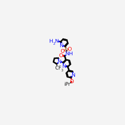 CC(C)Oc1ccc(-c2ccc(C(=O)NS(=O)(=O)c3cccc(N)n3)c(N3CCC[C@@H]3C(F)(F)F)n2)cn1